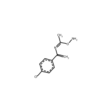 C=C(/N=C(/C)ON)c1ccc(Cl)cc1